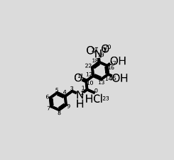 CC(NCc1ccccc1)C(=O)c1cc(O)c(O)c([N+](=O)[O-])c1.Cl